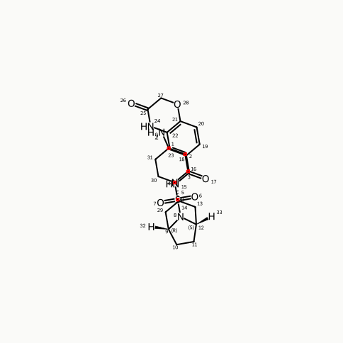 NC1CCN(S(=O)(=O)N2[C@@H]3CC[C@H]2C[C@@H](NC(=O)c2ccc4c(c2)NC(=O)CO4)C3)CC1